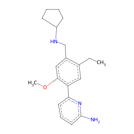 CCc1cc(-c2cccc(N)n2)c(OC)cc1CNC1CCCC1